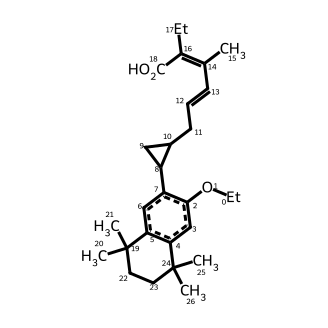 CCOc1cc2c(cc1C1CC1CC=CC(C)=C(CC)C(=O)O)C(C)(C)CCC2(C)C